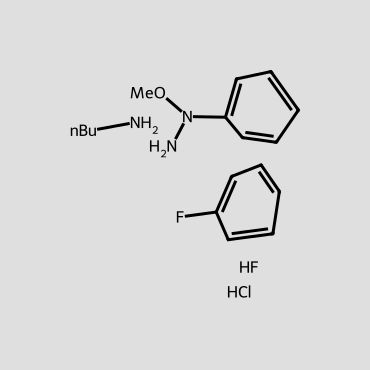 CCCCN.CON(N)c1ccccc1.Cl.F.Fc1ccccc1